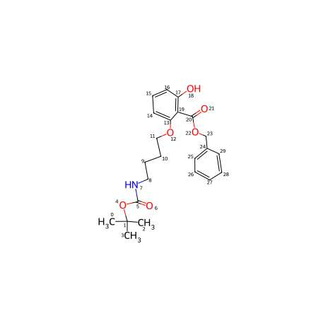 CC(C)(C)OC(=O)NCCCCOc1cccc(O)c1C(=O)OCc1ccccc1